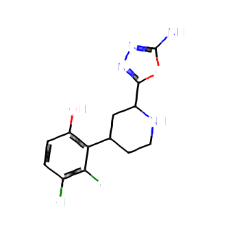 Nc1nnc(C2CC(c3c(O)ccc(Cl)c3Cl)CCN2)o1